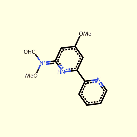 COc1cc(-c2ccccn2)[nH]c(=[N+](C=O)OC)c1